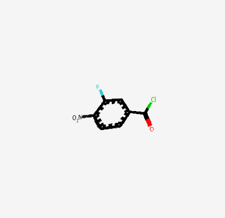 O=C(Cl)c1ccc([N+](=O)[O-])c(F)c1